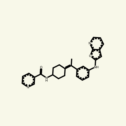 CC(=C1CCC(NC(=O)c2cccnc2)CC1)c1cccc(Nc2cc3cccnc3o2)c1